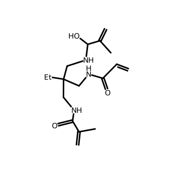 C=CC(=O)NCC(CC)(CNC(=O)C(=C)C)CNC(O)C(=C)C